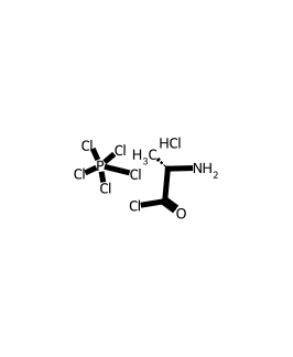 C[C@H](N)C(=O)Cl.Cl.ClP(Cl)(Cl)(Cl)Cl